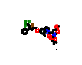 COC(=O)C[C@H](C(=O)N1CCc2cc(OCc3cc(-c4ccccc4)c(C(F)(F)F)s3)cc(C)c21)N(C)C(=O)OC(C)(C)C